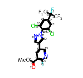 COC(=O)c1cc(-c2cnn(-c3c(Cl)cc(C(F)(C(F)(F)F)C(F)(F)F)cc3Cl)c2)cnc1F